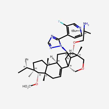 CC(C)[C@@H](C)[C@@]1(C)CC[C@]2(C)[C@H]3CC[C@@H]4[C@@]5(COC[C@@]4(C)[C@@H](OC[C@](C)(N)C(C)(C)C)[C@H](n4ncnc4-c4ccncc4F)C5)C3=CC[C@]2(C)[C@@H]1OC(=O)O